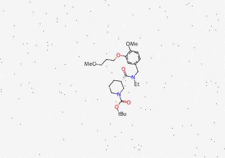 CCN(Cc1ccc(OC)c(OCCCOC)c1)C(=O)[C@H]1CCCN(C(=O)OC(C)(C)C)C1